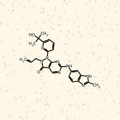 C=CCn1c(=O)c2cnc(Nc3ccc4nc(C)[nH]c4c3)nc2n1-c1cccc(C(C)(C)O)n1